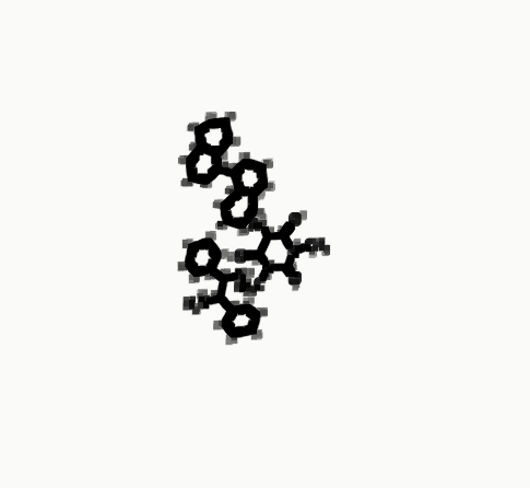 CC(=O)C1C(=O)N(C)C(=O)N(C)C1=O.NC(c1ccccc1)C(N)c1ccccc1.c1ccc2c(-c3cccc4ccccc34)cccc2c1